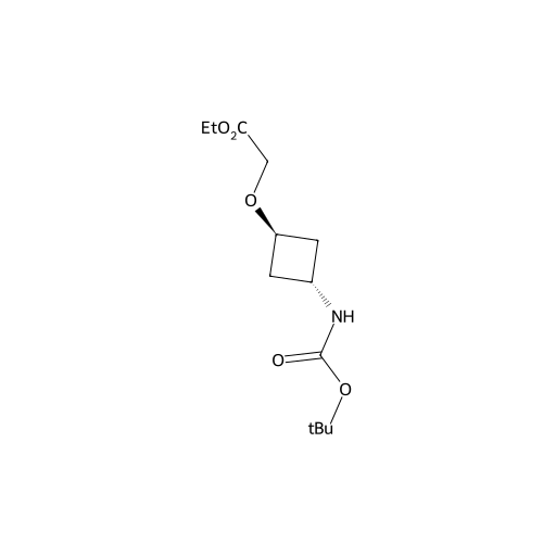 CCOC(=O)CO[C@H]1C[C@H](NC(=O)OC(C)(C)C)C1